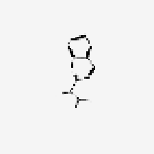 CC(C)C(C)c1ccc2ccccc2n1